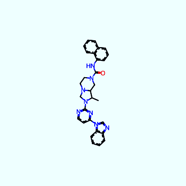 CC1C2CN(C(=O)Nc3cccc4ccccc34)CCN2CN1c1nccc(-n2cnc3ccccc32)n1